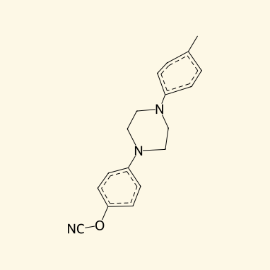 Cc1ccc(N2CCN(c3ccc(OC#N)cc3)CC2)cc1